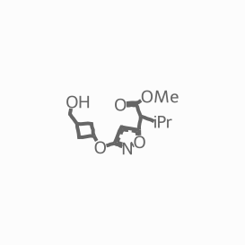 COC(=O)C(c1cc(OC2CC(CO)C2)no1)C(C)C